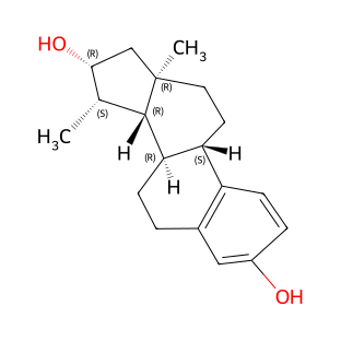 C[C@H]1[C@H]2[C@@H]3CCc4cc(O)ccc4[C@H]3CC[C@]2(C)C[C@H]1O